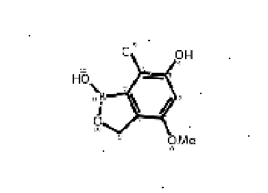 COc1cc(O)c(Cl)c2c1COB2O